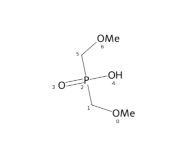 COCP(=O)(O)COC